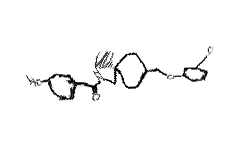 O=C(NC[C@]1(O)CC[C@H](COc2cccc(Cl)c2)CC1)c1ccc(O)cc1